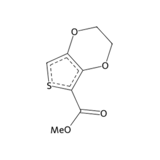 COC(=O)c1scc2c1OCCO2